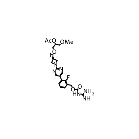 COCC(CON=C1CN(c2ncc(-c3cccc(COC(=O)NC(=N)N)c3F)cn2)C1)OC(C)=O